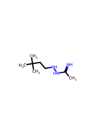 CC(=N)NNCCC(C)(C)C